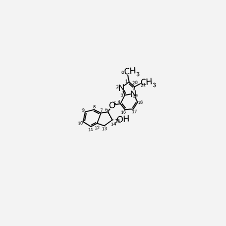 Cc1nc2c(O[C@@H]3c4ccccc4C[C@H]3O)cccn2c1C